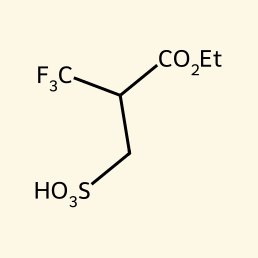 CCOC(=O)C(CS(=O)(=O)O)C(F)(F)F